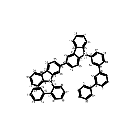 c1ccc(-c2cccc(-c3cccc(-n4c5ccccc5c5cc(-c6ccc7c8ccccc8n(-c8ccccc8-c8ccccc8)c7c6)ccc54)c3)c2)cc1